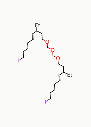 CCC(C=CCCCCI)CCOCOCOCCC(C=CCCCCI)CC